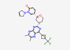 Cc1nc2nc([C@H]3CCO[C@@H](c4ccc(=O)n(N5CC=CC5)c4)C3)nc(C34CC(C(F)(F)F)(C3)C4)c2nc1C